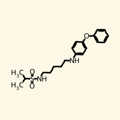 CC(C)S(=O)(=O)NCCCCCNc1ccc(Oc2ccccc2)cc1